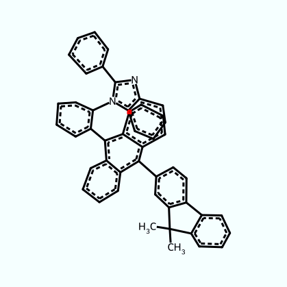 CC1(C)c2ccccc2-c2ccc(-c3c4ccccc4c(-c4ccccc4-n4c(-c5ccccc5)nc5ccccc54)c4ccccc34)cc21